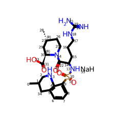 CC1CNc2c(cccc2S(=O)(=O)NC(CCCNC(=N)N)C(=O)N2CC[C@@H](C)C[C@@H]2C(=O)O)C1.[NaH]